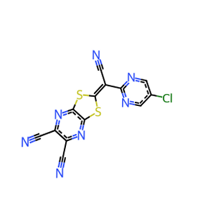 N#CC(=C1Sc2nc(C#N)c(C#N)nc2S1)c1ncc(Cl)cn1